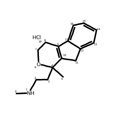 CNCCC1(C)OCCC2=C1Cc1ccccc12.Cl